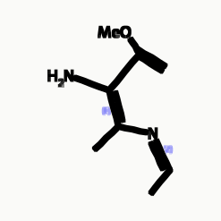 C=C(OC)/C(N)=C(C)\N=C/C